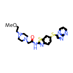 COCCN1CCN(CC(=O)Nc2nc3ccc(Sc4cnc5ncccn45)cc3s2)CC1